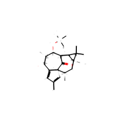 CC1=C[C@@]23C(=O)[C@H](C4[C@@H](C[C@H]2C)C4(C)C)[C@H](O[Si](C)(C)C(C)(C)C)[C@H](C)[C@@H](O)C3=C1